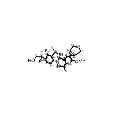 COc1nc2c(C)nnc(N[C@H](C)c3cccc(C(F)(F)CO)c3F)c2cc1N1C2CCC1COC2